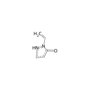 C=Cn1[nH]ccc1=O